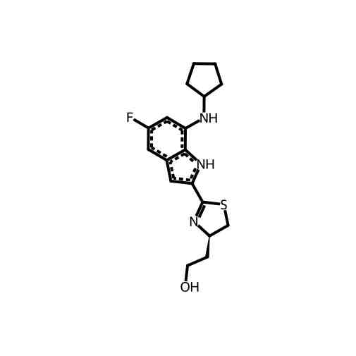 OCC[C@@H]1CSC(c2cc3cc(F)cc(NC4CCCC4)c3[nH]2)=N1